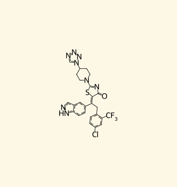 O=C1N=C(N2CCC(n3cnnn3)CC2)SC1=C(Cc1ccc(Cl)cc1C(F)(F)F)c1ccc2[nH]ncc2c1